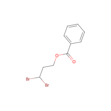 O=C(OCCC(Br)Br)c1ccccc1